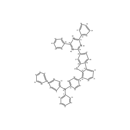 c1ccc(-c2ccc(N(c3ccccc3)c3ccc(-c4cccc5c4sc4cc(-c6nc(-c7ccccc7)nc(-c7ccccc7)n6)ccc45)cc3)cc2)cc1